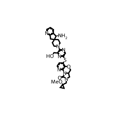 COC1(CN2CC3COc4c(Sc5cnc(N6CCC7(CC6)Cc6ncccc6[C@H]7N)c(CO)n5)ccnc4N3C2=O)CC1